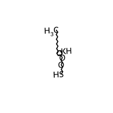 CCCCCCCCCc1ccc(OCCOCCCS)cc1.[KH]